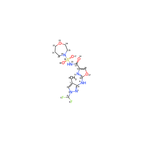 Cc1cn(C(F)F)nc1Nc1nc(C(=O)NS(=O)(=O)N2CCCOCC2)co1